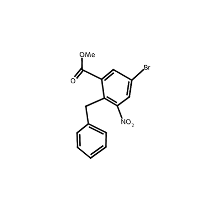 COC(=O)c1cc(Br)cc([N+](=O)[O-])c1Cc1ccccc1